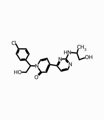 CC(CO)Nc1nccc(-c2ccn(C(CO)c3ccc(Cl)cc3)c(=O)c2)n1